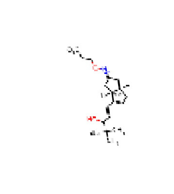 CCCCC(C)(C)C(O)C=CC1=CC[C@@H]2C/C(=N/OCCC(=O)O)C[C@@H]12